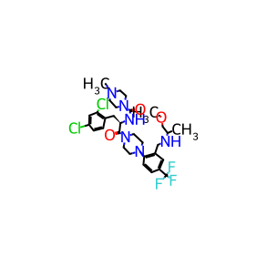 COCC(C)NCc1cc(C(F)(F)F)ccc1N1CCN(C(=O)[C@@H](Cc2ccc(Cl)cc2Cl)NC(=O)N2CCN(C)CC2)CC1